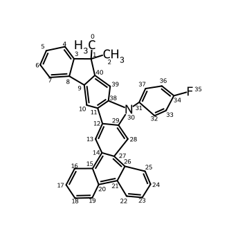 CC1(C)c2ccccc2-c2cc3c4cc5c6ccccc6c6ccccc6c5cc4n(-c4ccc(F)cc4)c3cc21